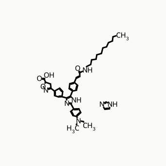 CCCCCCCCCCCCNC(=O)C=Cc1ccc(-c2[nH]c(-c3ccc(N(CC)CC)cc3)nc2-c2ccc(C3=NOC(C(=O)O)C3)cc2)cc1.c1c[nH]cn1